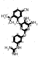 CN(C)c1ccc(C#N)cc1Oc1nc(Oc2cccc(NC(=N)N)c2)nc(N)c1N